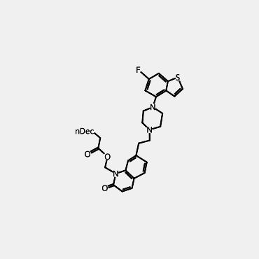 CCCCCCCCCCCC(=O)OCn1c(=O)ccc2ccc(CCN3CCN(c4cc(F)cc5sccc45)CC3)cc21